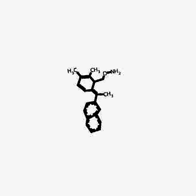 CC1=C(C)C(CON)C(=C(C)c2ccc3ccccc3c2)[C]=C1